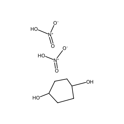 O=[N+]([O-])O.O=[N+]([O-])O.OC1CCC(O)CC1